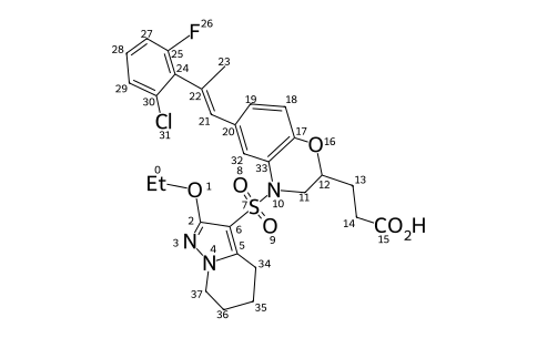 CCOc1nn2c(c1S(=O)(=O)N1CC(CCC(=O)O)Oc3ccc(/C=C(\C)c4c(F)cccc4Cl)cc31)CCCC2